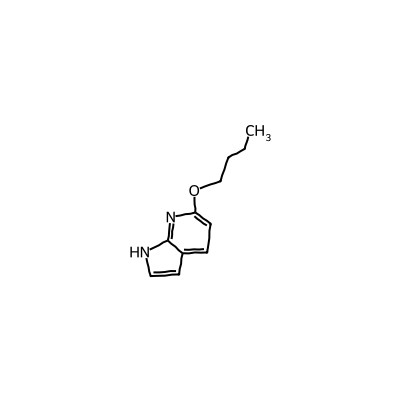 CCCCOc1ccc2cc[nH]c2n1